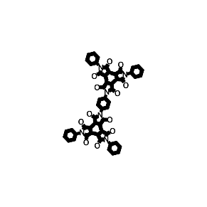 O=c1c2c3c(=O)n(-c4ccccc4)c(=O)c3c3c(=O)n(-c4ccc(-n5c(=O)c6c7c(=O)n(-c8ccccc8)c(=O)c7c7c(=O)n(-c8ccccc8)c(=O)c7c6c5=O)cc4)c(=O)c3c2c(=O)n1-c1ccccc1